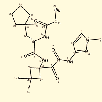 Cn1ccc(NC(=O)C(=O)C2(NC(=O)[C@H](CC3(C)CCCC3)NC(=O)OC(C)(C)C)CC(F)(F)C2)n1